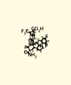 NC(=O)C1C=C(c2cccnc2[C@H](Cc2cc(F)cc(F)c2)NC(=O)CN2C=C(C(=O)O)C(C(F)(F)F)N2)C=CC1F